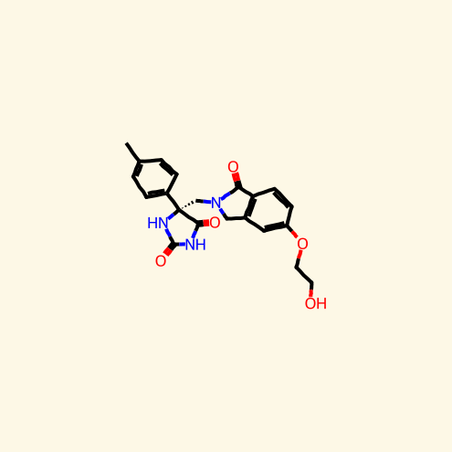 Cc1ccc([C@]2(CN3Cc4cc(OCCO)ccc4C3=O)NC(=O)NC2=O)cc1